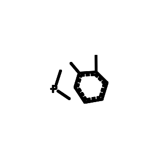 C[P]C.Cc1ccccc1C